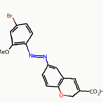 COc1cc(Br)ccc1/N=N/c1ccc2c(c1)C=C(C(=O)O)CO2